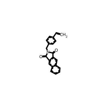 C=Cc1ccc(CN2C(=O)c3cc4ccccc4cc3C2=O)cc1